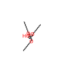 CCCCCCCCCCCCOC(C)(C)Cc1ccc(O)c(CC(C)(C)OCCCCCCCCCCCC)c1CC(C)(C)OCCCCCCCCCCCC